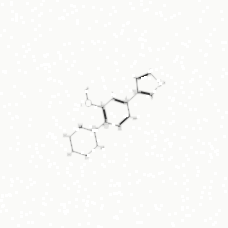 COc1cc(-c2ccsc2)ccc1C1CCCCC1